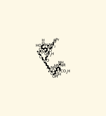 CCCOCCOCCOCCOCCC(=O)N(CCCCCCN(C)C(=O)O[C@@H]([C@@H]1OC(C(=O)O)=C[C@H](NC(=N)N)[C@H]1NC(C)=O)[C@H](O)CO)CCOCCN(C)C(=O)O[C@@H]([C@@H]1OC(C(=O)O)=C[C@H](NC(=N)N)[C@H]1C)[C@H](O)CO